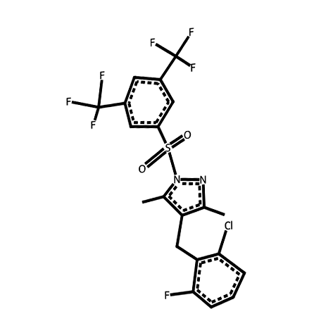 Cc1nn(S(=O)(=O)c2cc(C(F)(F)F)cc(C(F)(F)F)c2)c(C)c1Cc1c(F)cccc1Cl